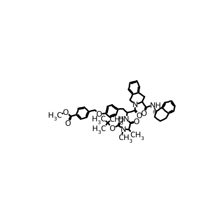 COC(=O)c1ccc(COc2ccc(CC(NC(=O)C(C)N(C)C(=O)OC(C)(C)C)C(=O)N3Cc4ccccc4CC3C(=O)N[C@@H]3CCCc4ccccc43)cc2)cc1